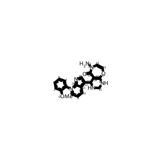 COc1ccccc1-n1cccc2c(C3NCNC4=C3C(=O)N(N)C=CO4)cnc1-2